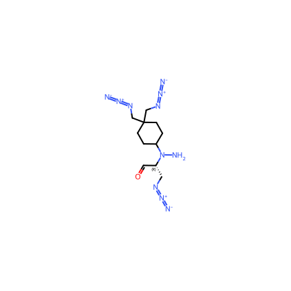 [N-]=[N+]=NC[C@H](C=O)N(N)C1CCC(CN=[N+]=[N-])(CN=[N+]=[N-])CC1